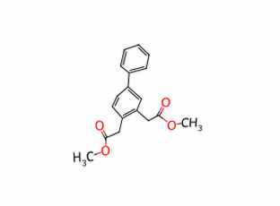 COC(=O)Cc1ccc(-c2ccccc2)cc1CC(=O)OC